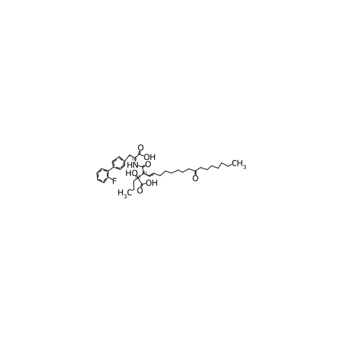 CCCCCCCC(=O)CCCCCCC=C[C@H](C(=O)N[C@@H](Cc1ccc(-c2ccccc2F)cc1)C(=O)O)[C@@](O)(CCC)C(=O)O